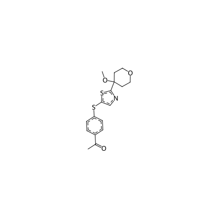 COC1(c2ncc(Sc3ccc(C(C)=O)cc3)s2)CCOCC1